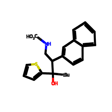 CC(C)(C)C(O)(c1cccs1)C(CNC(=O)O)c1ccc2ccccc2c1